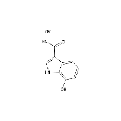 CCCNC(=O)c1c[nH]c2c(O)cccc12